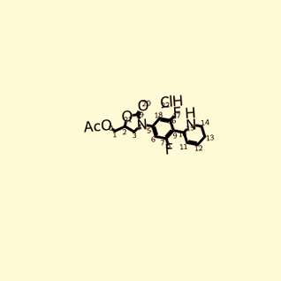 CC(=O)OCC1CN(c2cc(F)c(C3C=CCCN3)c(F)c2)C(=O)O1.Cl